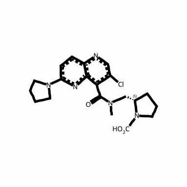 CN(C[C@@H]1CCCN1C(=O)O)C(=O)c1c(Cl)cnc2ccc(N3CCCC3)nc12